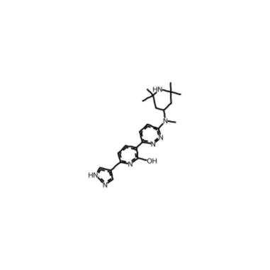 CN(c1ccc(-c2ccc(-c3cn[nH]c3)nc2O)nn1)C1CC(C)(C)NC(C)(C)C1